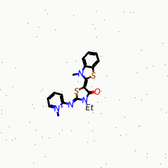 CCN1C(=O)/C(=C2\Sc3ccccc3N2C)S/C1=N\c1cccc[n+]1C